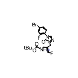 CC(C)(C)OC(=O)NC/C(=C/F)Cn1ncn(-c2ccc(Br)cc2F)c1=O